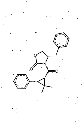 CC1(C)[C@H](C(=O)N2C(=O)OC[C@@H]2Cc2ccccc2)[C@H]1c1ccccc1